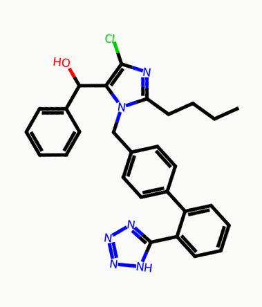 CCCCc1nc(Cl)c(C(O)c2ccccc2)n1Cc1ccc(-c2ccccc2-c2nnn[nH]2)cc1